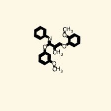 COc1cccc(OC(=N\c2ccccc2)/C(C)=C/Oc2ccccc2OC)c1